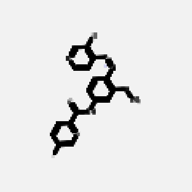 COc1cc(NC(=O)c2ccc(F)cn2)ccc1/N=N\c1ccncc1Cl